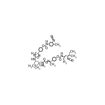 CC/C(C)=C(\C=C(/C)NC(=O)Oc1ccc(/C(C)=N/OC(=O)NCC2(C)CC(NC(=O)O/N=C(\C)c3ccc(OC(=O)Nc4ccc(C)c(N=C=O)c4)cc3)CC(C)(C)C2)cc1)N=C=O